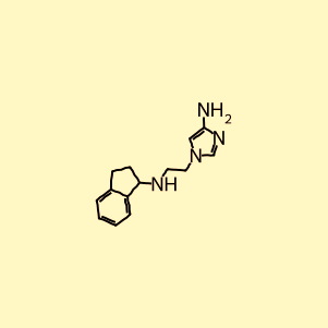 Nc1cn(CCNC2CCc3ccccc32)cn1